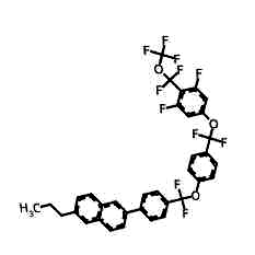 CCCc1ccc2cc(-c3ccc(C(F)(F)Oc4ccc(C(F)(F)Oc5cc(F)c(C(F)(F)OC(F)(F)F)c(F)c5)cc4)cc3)ccc2c1